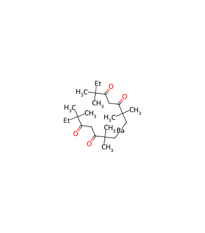 CCC(C)(C)C(=O)CC(=O)C(C)(C)[CH2][Ba][CH2]C(C)(C)C(=O)CC(=O)C(C)(C)CC